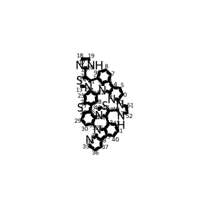 c1cnc2c(c1)c1cccc(-c3ncsc3-c3ncc[nH]3)c1n2-c1ccc2sc3ccc(-n4c5ncccc5c5cccc(-c6ncsc6-c6ncc[nH]6)c54)cc3c2c1